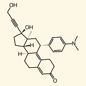 CN(C)c1ccc([C@H]2C[C@@]3(C)[C@@H](CC[C@]3(O)C#CCO)[C@@H]3CCC4=CC(=O)CCC4=C32)cc1